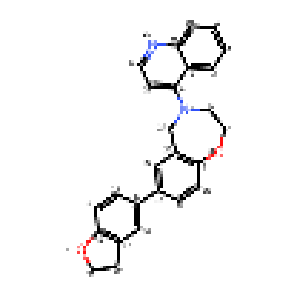 c1ccc2c(N3CCOc4ccc(-c5ccc6c(c5)CCO6)cc4C3)ccnc2c1